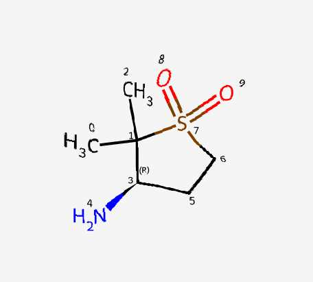 CC1(C)[C@H](N)CCS1(=O)=O